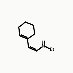 CCN/C=C\C1=CCCCC1